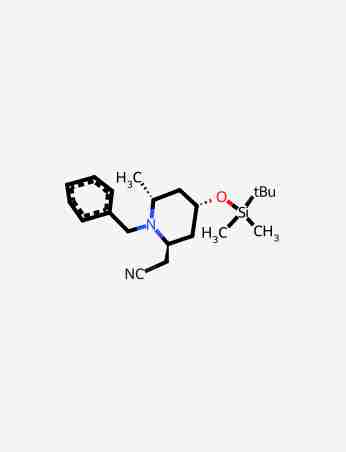 C[C@@H]1C[C@H](O[Si](C)(C)C(C)(C)C)C[C@@H](CC#N)N1Cc1ccccc1